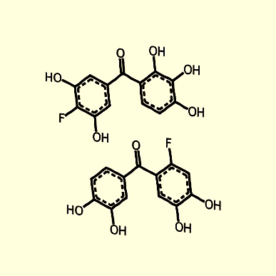 O=C(c1cc(O)c(F)c(O)c1)c1ccc(O)c(O)c1O.O=C(c1ccc(O)c(O)c1)c1cc(O)c(O)cc1F